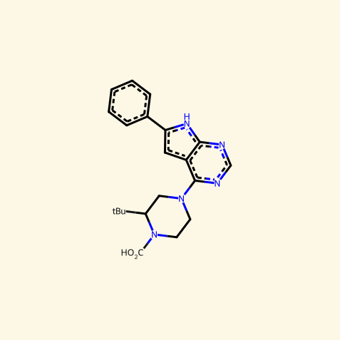 CC(C)(C)C1CN(c2ncnc3[nH]c(-c4ccccc4)cc23)CCN1C(=O)O